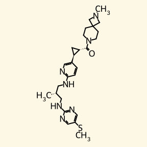 CSc1cnc(NC[C@H](C)CNc2ccc([C@H]3C[C@@H]3C(=O)N3CCC4(CC3)CN(C)C4)cn2)nc1